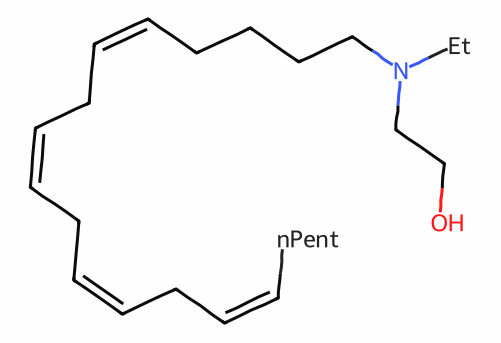 CCCCC/C=C\C/C=C\C/C=C\C/C=C\CCCCN(CC)CCO